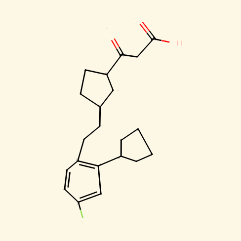 O=C(O)CC(=O)C1CCC(CCc2ccc(F)cc2C2CCCC2)C1